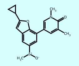 Cc1cc(-c2cc([S+](C)[O-])cc3cc(C4CC4)oc23)cn(C)c1=O